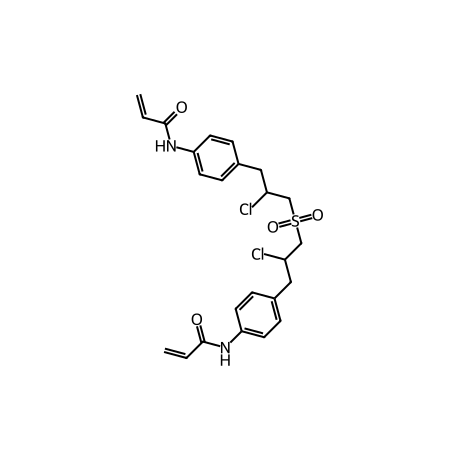 C=CC(=O)Nc1ccc(CC(Cl)CS(=O)(=O)CC(Cl)Cc2ccc(NC(=O)C=C)cc2)cc1